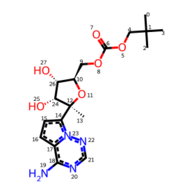 CC(C)(C)COC(=O)OC[C@H]1O[C@@](C)(c2ccc3c(N)ncnn23)[C@H](O)[C@@H]1O